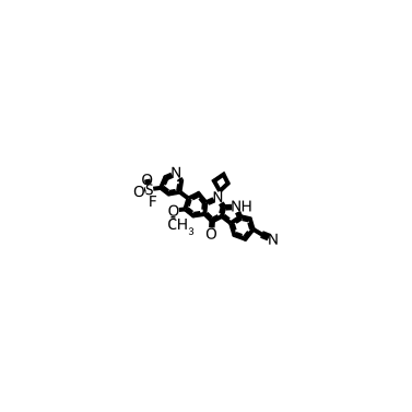 COc1cc2c(=O)c3c4ccc(C#N)cc4[nH]c3n(C3CCC3)c2cc1-c1cncc(S(=O)(=O)F)c1